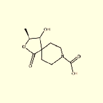 C[C@@H]1OC(=O)C2(CCN(C(=O)O)CC2)C1O